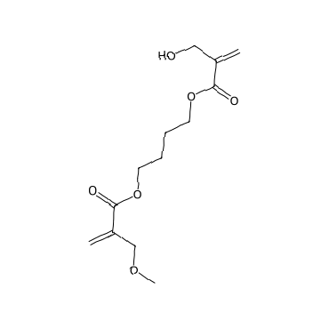 C=C(CO)C(=O)OCCCCOC(=O)C(=C)COC